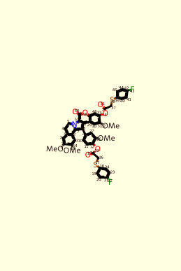 COc1cc2ccn3c(c(-c4ccc(OC(=O)CSc5ccc(F)cc5)c(OC)c4)c4c5cc(OC)c(OC(=O)CSc6ccc(F)cc6)cc5oc(=O)c43)c2cc1OC